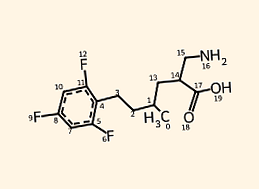 CC(CCc1c(F)cc(F)cc1F)CC(CN)C(=O)O